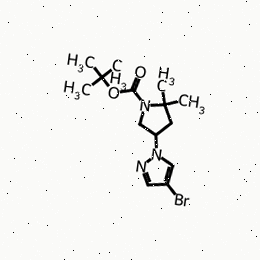 CC(C)(C)OC(=O)N1CC(n2cc(Br)cn2)CC1(C)C